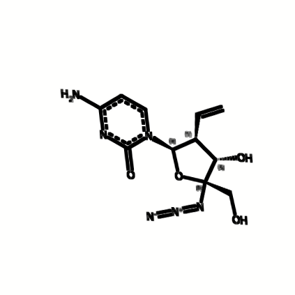 C=C[C@@H]1[C@H](n2ccc(N)nc2=O)O[C@@](CO)(N=[N+]=[N-])[C@H]1O